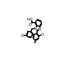 Cc1ccc(-c2nc3cccc(C(=O)O)c3n2Cc2cccc(Cl)c2)c(Cl)c1